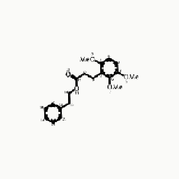 COc1ccc(OC)c(OC)c1CCC(=O)OCCc1ccccc1